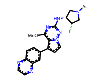 COc1nc(N[C@@H]2CN(C(C)=O)C[C@@H]2F)nn2ccc(-c3ccc4nccnc4c3)c12